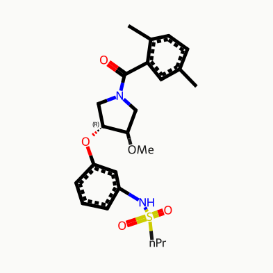 CCCS(=O)(=O)Nc1cccc(O[C@@H]2CN(C(=O)c3cc(C)ccc3C)CC2OC)c1